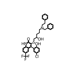 O=c1[nH]c2ccc(C(F)(F)F)cc2c(-c2cc(Cl)ccc2O)c1SCC(O)CCCN(CCc1ccccc1)Cc1ccccc1